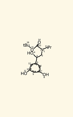 CC(C)N(CC(O)c1cc(O)cc(O)c1)C(=O)OC(C)(C)C